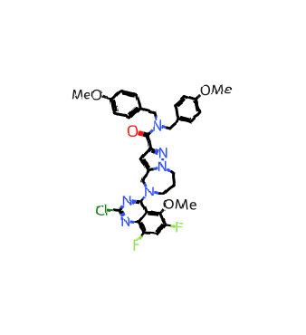 COc1ccc(CN(Cc2ccc(OC)cc2)C(=O)c2cc3n(n2)CCCN(c2nc(Cl)nc4c(F)cc(F)c(OC)c24)C3)cc1